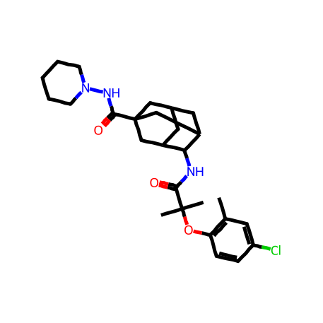 Cc1cc(Cl)ccc1OC(C)(C)C(=O)NC1C2CC3CC1CC(C(=O)NN1CCCCC1)(C3)C2